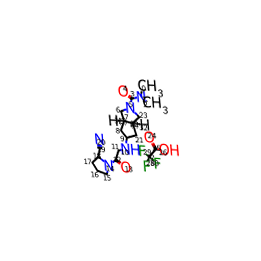 CN(C)C(=O)N1C[C@H]2CC(NCC(=O)N3CCCC3C#N)C[C@H]2C1.O=C(O)C(F)(F)F